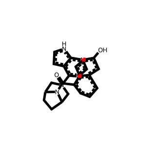 O=C(c1cccc2cc(O)ccc12)N1C2CCC1CN(c1ncnc3[nH]ccc13)C2